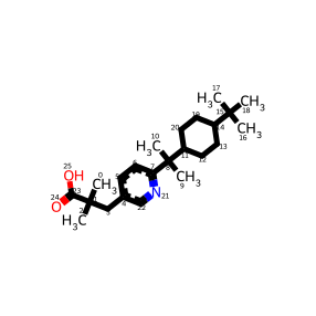 CC(C)(Cc1ccc(C(C)(C)C2CCC(C(C)(C)C)CC2)nc1)C(=O)O